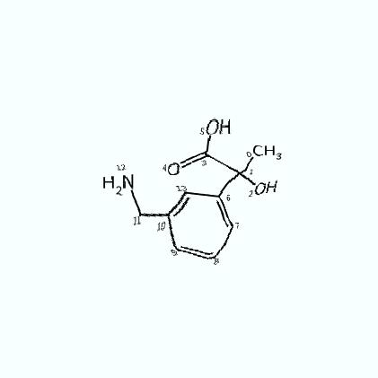 CC(O)(C(=O)O)c1cccc(CN)c1